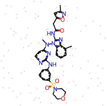 Cc1cc(CC(=O)Nc2nc3c(C)cccc3n2N(C)c2ccnc(Nc3cccc(S(=O)(=O)N4CCOCC4)c3)n2)on1